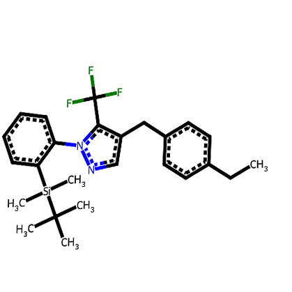 CCc1ccc(Cc2cnn(-c3ccccc3[Si](C)(C)C(C)(C)C)c2C(F)(F)F)cc1